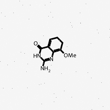 COC1=c2nc(N)[nH]c(=O)c2=CCC1